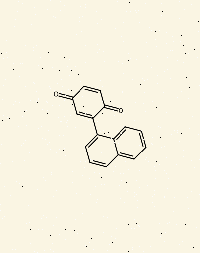 O=C1C=CC(=O)C(c2cccc3ccccc23)=C1